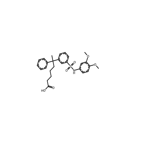 COc1ccc(NS(=O)(=O)c2cccc(C(C)(CCCCC(=O)O)c3ccccc3)c2)cc1OC